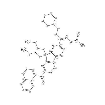 CCCCC1(CCCC)c2cc(C(=O)c3cccc4ccccc34)ccc2-c2ccc(/C(CCC3CCCCC3)=N\OC(C)=O)cc21